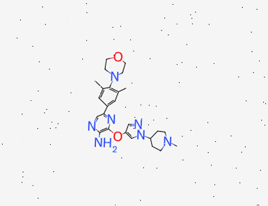 Cc1cc(-c2cnc(N)c(Oc3cnn(C4CCN(C)CC4)c3)n2)cc(C)c1N1CCOCC1